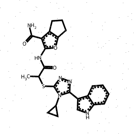 CC(Sc1nnc(-c2c[nH]c3ccccc23)n1C1CC1)C(=O)Nc1oc2c(c1C(N)=O)CCC2